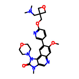 COc1cc2ncc3c(c2cc1-c1ccc(OCC2(CN(C)C)COC2)nc1)n(N1CCOCC1)c(=O)n3C